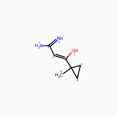 CC1(/C(O)=C/C(=N)N)CC1